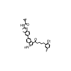 CCCn1cc(C(=O)CCCCc2cc(F)ccc2CC)c2cc(-c3ccc(/N=C(\C)NC(=O)C4CC4)c(C)c3)ccc21